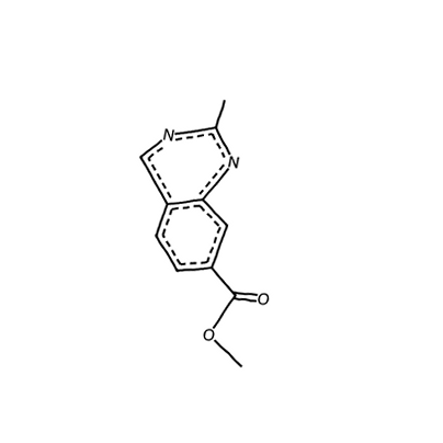 COC(=O)c1ccc2cnc(C)nc2c1